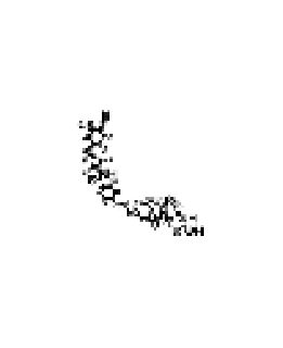 CC1(C)[C@H](NC(=O)c2ccc(/C=C/CN3CCC4(CC3)CC(=O)N(C3CCC(O)NC3=O)C4=O)cc2)C(C)(C)[C@H]1Oc1ccc(C#N)c(Cl)c1